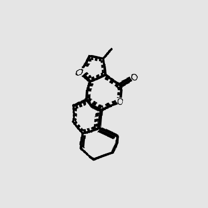 Cc1coc2c1c(=O)oc1c3c(ccc12)=CCCC=3